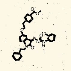 COC(=O)c1ccc(CCSc2ccc3c(c2)/C(=N/NC(=O)Nc2ccccc2Cl)C(=O)N3CCc2ccccc2)cc1